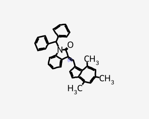 Cc1cc(C)c2ccc(/C=C3/C(=O)N(C(c4ccccc4)c4ccccc4)c4ccccc43)c-2c(C)c1